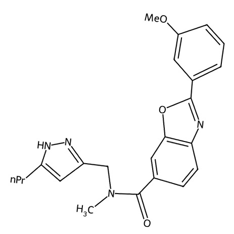 CCCc1cc(CN(C)C(=O)c2ccc3nc(-c4cccc(OC)c4)oc3c2)n[nH]1